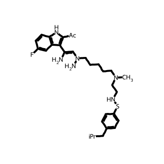 CC(=O)c1[nH]c2ccc(F)cc2c1/C(N)=C/N(N)CCCCCN(C)CCNSc1ccc(CC(C)C)cc1